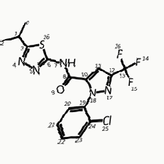 CC(C)c1nnc(NC(=O)c2cc(C(F)(F)F)nn2-c2ccccc2Cl)s1